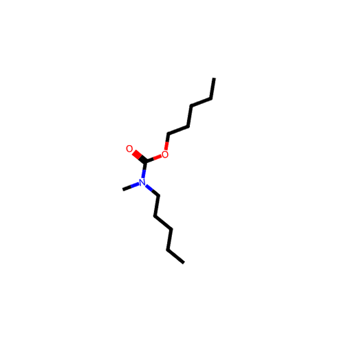 CCCCCOC(=O)N(C)CCCCC